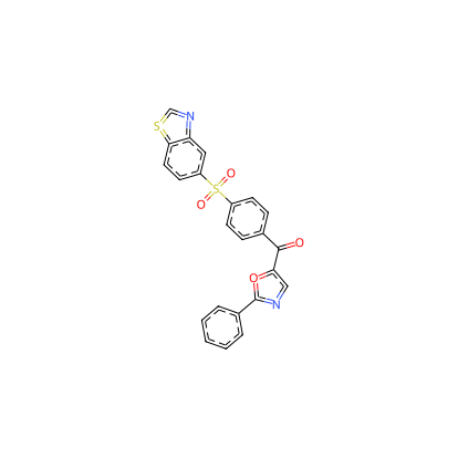 O=C(c1ccc(S(=O)(=O)c2ccc3scnc3c2)cc1)c1cnc(-c2ccccc2)o1